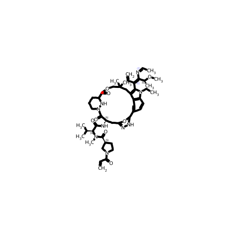 C=CC(=O)N1CC[C@H](C(=O)N(C)[C@H](C(=O)N[C@H]2CC3=NNC(O3)c3ccc4c(c3)c(c(/C(C=C)=C(/N=C\C)[C@H](C)OC)n4CC)CC(C)(C)COCC3(C=O)CCCN(N3)C2=O)C(C)C)C1